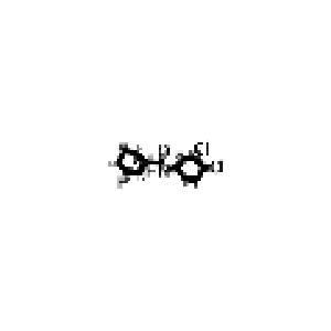 O=C(Nc1ccc(Cl)c(Cl)c1)C1=C[C@@H]2CCC1O2